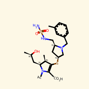 CC(=O)N1C(C(=O)O)=C(S[C@H]2C[C@@H](CNS(N)(=O)=O)N(Cc3cccc(C)c3)C2)[C@H](C)[C@@H]1C[C@@H](C)O